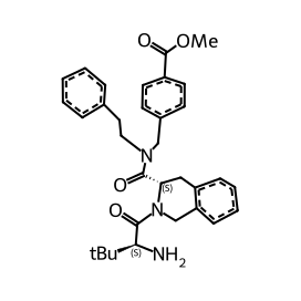 COC(=O)c1ccc(CN(CCc2ccccc2)C(=O)[C@@H]2Cc3ccccc3CN2C(=O)[C@@H](N)C(C)(C)C)cc1